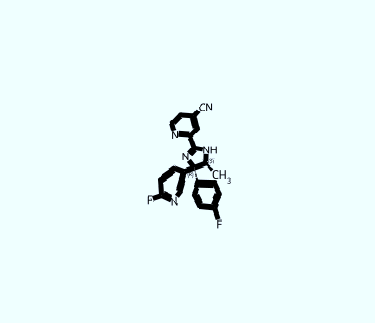 C[C@@H]1NC(c2cc(C#N)ccn2)=N[C@]1(c1ccc(F)cc1)c1ccc(F)nc1